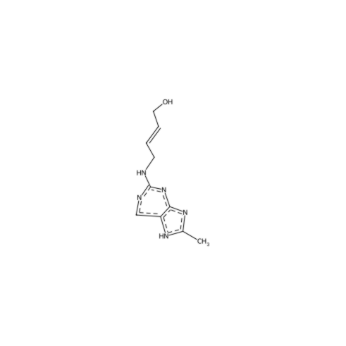 Cc1nc2nc(NCC=CCO)ncc2[nH]1